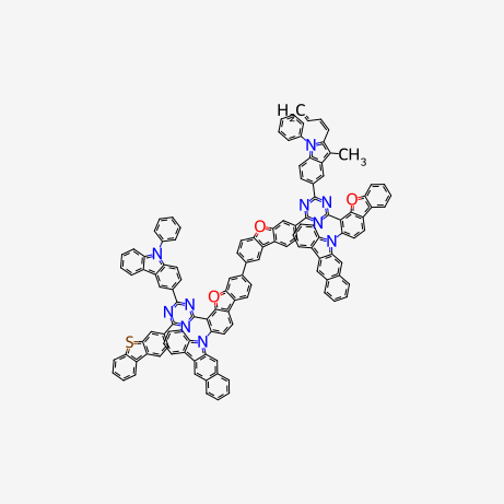 C=C/C=C\c1c(C)c2cc(-c3nc(-c4ccc5c(c4)oc4ccc(-c6ccc7c(c6)oc6c(-c8nc(-c9ccc%10c(c9)sc9ccccc9%10)nc(-c9ccc%10c(c9)c9ccccc9n%10-c9ccccc9)n8)c(-n8c9ccccc9c9cc%10ccccc%10cc98)ccc67)cc45)nc(-c4c(-n5c6ccccc6c6cc7ccccc7cc65)ccc5c4oc4ccccc45)n3)ccc2n1-c1ccccc1